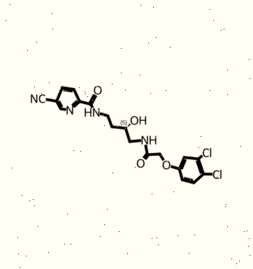 N#Cc1ccc(C(=O)NCC[C@H](O)CNC(=O)COc2ccc(Cl)c(Cl)c2)nc1